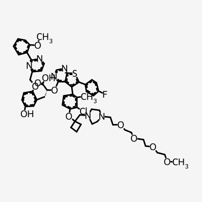 COCCOCCOCCOCCN1CCN(CC2(Oc3ccc(-c4c(-c5ccc(F)cc5)sc5ncnc(O[C@H](Cc6cc(O)ccc6OCc6ccnc(-c7ccccc7OC)n6)C(=O)O)c45)c(C)c3Cl)CCC2)CC1